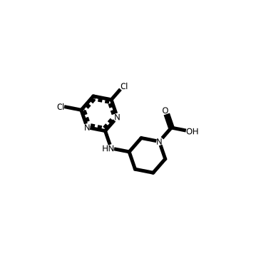 O=C(O)N1CCCC(Nc2nc(Cl)cc(Cl)n2)C1